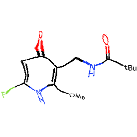 COc1[nH]c(F)cc(=O)c1CNC(=O)C(C)(C)C